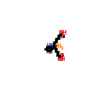 O=C(O)CCCCCC(P)(CCCCCC(=O)O)Nc1ccccc1